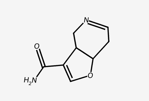 NC(=O)C1=COC2CC=NCC12